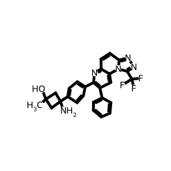 CC1(O)CC(N)(c2ccc(-c3nc4ccc5nnc(C(F)(F)F)n5c4cc3-c3ccccc3)cc2)C1